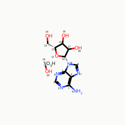 Nc1ncnc2c1ncn2[C@@H]1O[C@H](CO)C(O)C1O.O=S(=O)(O)O